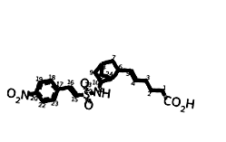 O=C(O)CCCC=CC1CC2CC(NS(=O)(=O)C=Cc3ccc([N+](=O)[O-])cc3)C1C2